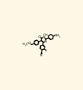 COCc1ccc(-c2c(-c3ccc(C#N)c(F)c3)nc(C3=CCC(N)CC3)n(C)c2=O)cc1